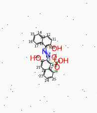 O=S(=O)(O)c1c(/N=N/c2c(O)ccc3ccccc23)c(O)cc2ccccc12